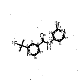 CC(C)(F)c1cc(C(=O)Nc2ccnc(Br)c2)ccn1